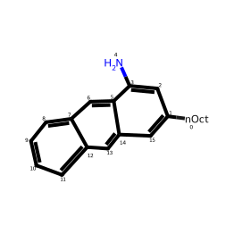 CCCCCCCCc1cc(N)c2cc3ccccc3cc2c1